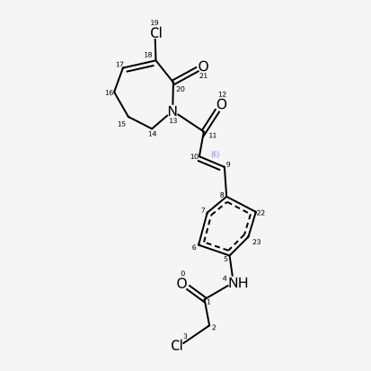 O=C(CCl)Nc1ccc(/C=C/C(=O)N2CCCC=C(Cl)C2=O)cc1